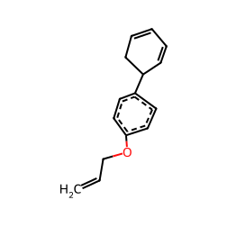 C=CCOc1ccc(C2C=CC=CC2)cc1